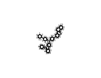 c1ccc(-c2ccc(N(c3ccc(-c4ccc5sc6c7ccccc7ccc6c5c4)cc3)c3ccc4c5ccccc5n(-c5ccccc5)c4c3)cc2)cc1